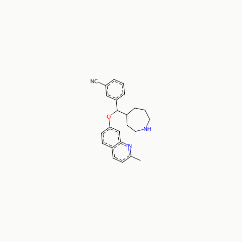 Cc1ccc2ccc(OC(c3cccc(C#N)c3)C3CCCNCC3)cc2n1